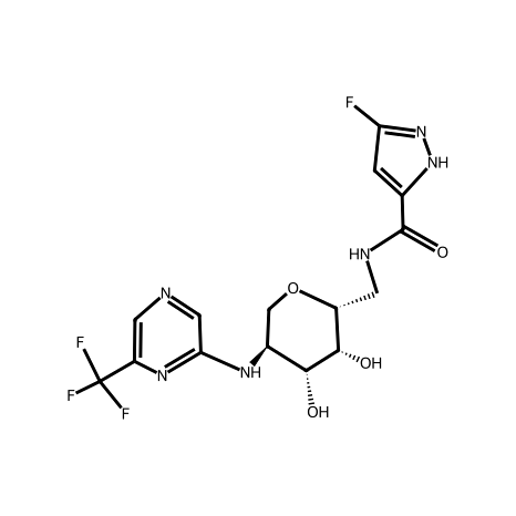 O=C(NC[C@H]1OC[C@H](Nc2cncc(C(F)(F)F)n2)[C@@H](O)[C@H]1O)c1cc(F)n[nH]1